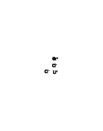 [Br+].[Cl-].[Cl-].[Li+]